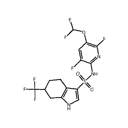 O=S(=O)(Nc1nc(F)c(OC(F)F)cc1F)c1c[nH]c2c1CCC(C(F)(F)F)C2